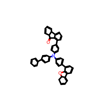 O=C1c2c(-c3ccc(N(c4ccc(-c5ccccc5)cc4)c4ccc(-c5cccc6c5OC5CC=CC=C65)cc4)cc3)cccc2C2C=CC=CC12